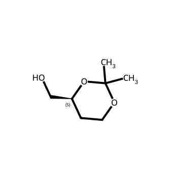 CC1(C)OCC[C@@H](CO)O1